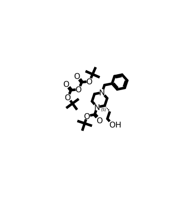 CC(C)(C)OC(=O)N1CCN(Cc2ccccc2)C[C@@H]1CCO.CC(C)(C)OC(=O)OC(=O)OC(C)(C)C